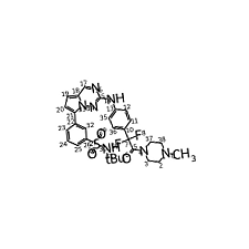 CN1CCN(C(=O)C(F)(F)c2ccc(Nc3ncc4ccc(-c5cccc(S(=O)(=O)NC(C)(C)C)c5)n4n3)cc2)CC1